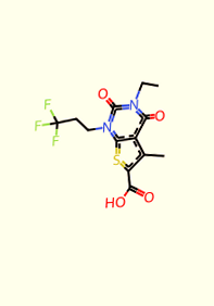 CCn1c(=O)c2c(C)c(C(=O)O)sc2n(CCC(F)(F)F)c1=O